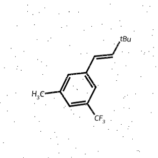 Cc1cc(/C=C/C(C)(C)C)cc(C(F)(F)F)c1